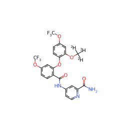 [2H]C([2H])([2H])Oc1cc(OC(F)(F)F)ccc1Oc1cc(OC(F)(F)F)ccc1C(=O)Nc1ccnc(C(N)=O)c1